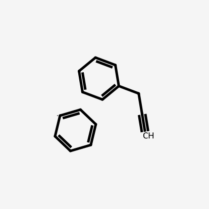 C#CCc1ccccc1.[c]1ccccc1